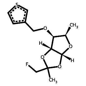 C[C@H]1O[C@@H]2OC(C)(CF)O[C@@H]2[C@H]1OCc1ccsc1